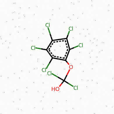 OC(Cl)(Cl)Oc1c(Cl)c(Cl)c(Cl)c(Cl)c1Cl